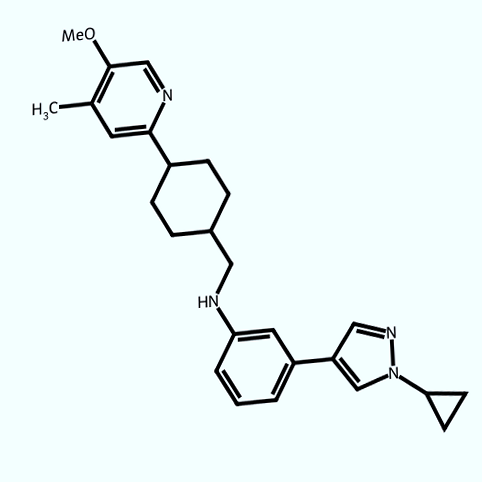 COc1cnc(C2CCC(CNc3cccc(-c4cnn(C5CC5)c4)c3)CC2)cc1C